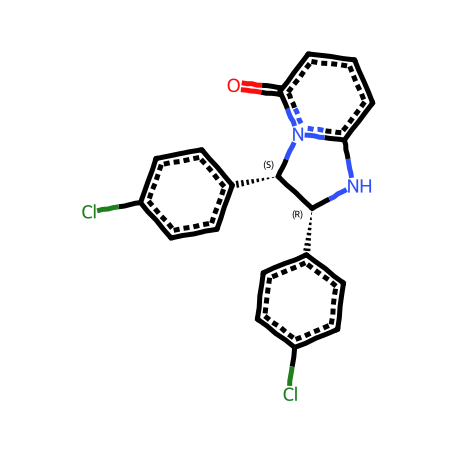 O=c1cccc2n1[C@@H](c1ccc(Cl)cc1)[C@@H](c1ccc(Cl)cc1)N2